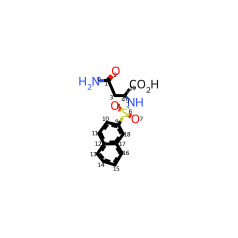 NC(=O)CC(NS(=O)(=O)c1ccc2ccccc2c1)C(=O)O